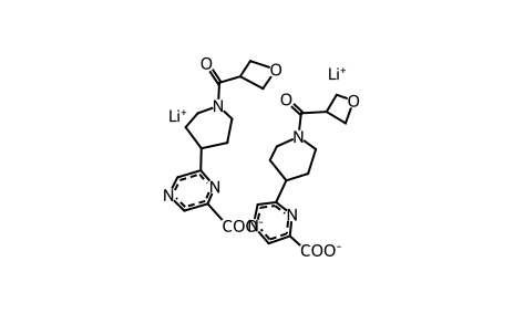 O=C([O-])c1cncc(C2CCN(C(=O)C3COC3)CC2)n1.O=C([O-])c1cncc(C2CCN(C(=O)C3COC3)CC2)n1.[Li+].[Li+]